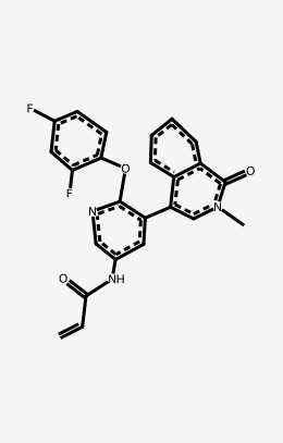 C=CC(=O)Nc1cnc(Oc2ccc(F)cc2F)c(-c2cn(C)c(=O)c3ccccc23)c1